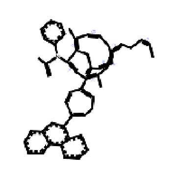 C=C(/C=C\C=C/C/C=C\C)CC1=C(C)\C=C/C/C=C\C(C)=C(C2=CCC=C(c3cc4ccccc4c4ccccc34)C=C2)/C=C\1N(C(=C)C)c1ccccc1